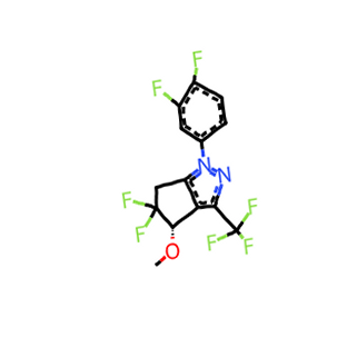 CO[C@H]1c2c(C(F)(F)F)nn(-c3ccc(F)c(F)c3)c2CC1(F)F